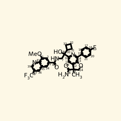 COc1cc(C(=O)NCC(O)(c2cc3c(c(-c4ccc(F)cc4)n2)OC[C@]3(C)C(N)=O)C2CCC2)cc2cc(C(F)(F)F)cnc12